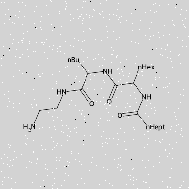 CCCCCCCC(=O)NC(CCCCCC)C(=O)NC(CCCC)C(=O)NCCN